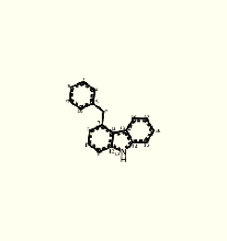 [c]1ccc(Cc2ccccc2)c2c1[nH]c1ccccc12